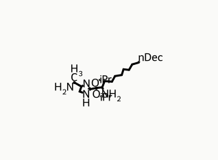 CCCCCCCCCCCCCCCCCCC(N)C(OC(C)C)(OC(C)C)C1=NC(C(C)N)CN1